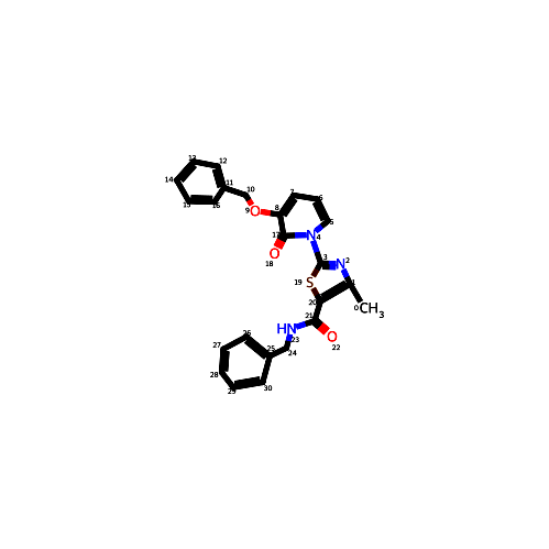 Cc1nc(-n2cccc(OCc3ccccc3)c2=O)sc1C(=O)NCc1ccccc1